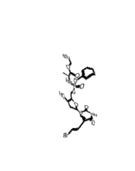 C[C@H](NP(=O)(OCC1OC(n2cc(/C=C/Br)c(=O)[nH]c2=O)CC1O)Oc1ccccc1)C(=O)OCC(C)(C)C